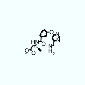 C#C[C@H](CC(=O)OC)NC(=O)c1cccc(Oc2cc(CN)ncn2)c1